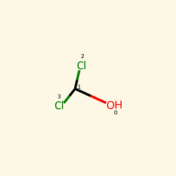 OC(Cl)Cl